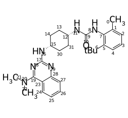 Cc1cccc(C(C)(C)C)c1NC(=O)N[C@H]1CC[C@@H](Nc2nc(N(C)C)c3ccccc3n2)CC1